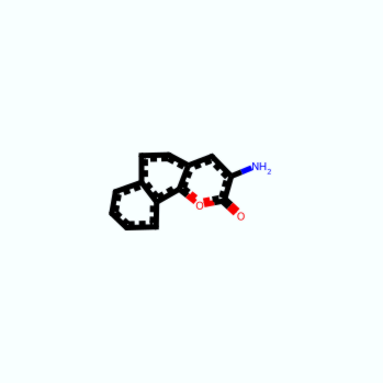 Nc1cc2ccc3ccccc3c2oc1=O